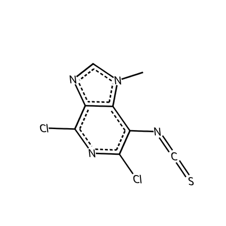 Cn1cnc2c(Cl)nc(Cl)c(N=C=S)c21